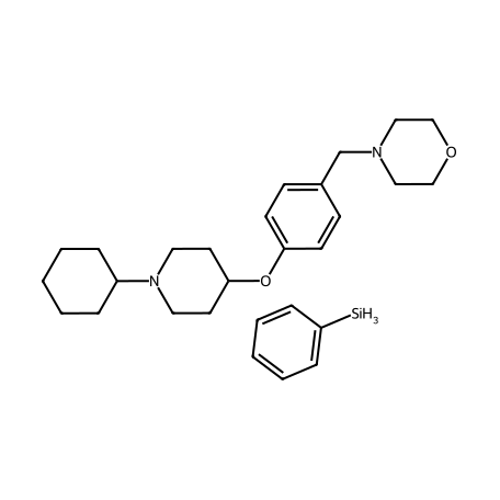 [SiH3]c1ccccc1.c1cc(OC2CCN(C3CCCCC3)CC2)ccc1CN1CCOCC1